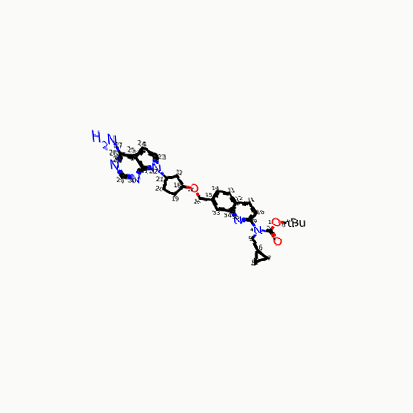 CC(C)(C)OC(=O)N(CC1CC1)c1ccc2ccc(COC3CCC(n4ccc5c(N)ncnc54)C3)cc2n1